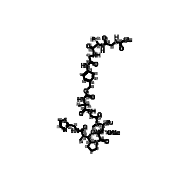 CC[C@H](C)[C@@H]([C@@H](CC(=O)N1CCC[C@H]1[C@H](OC)[C@@H](C)C(=O)NCc1nccs1)OC)N(C)C(=O)CNC(=O)C(C)(C)NC(=O)OCc1ccc(NC(=O)CNC(=O)C(NC(=O)CNC(=O)C(C)(C)C)C(C)C)cc1